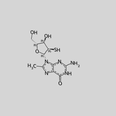 Cc1nc2c(=O)[nH]c(N)nc2n1[C@@H]1O[C@H](CO)[C@@H](O)[C@H]1S